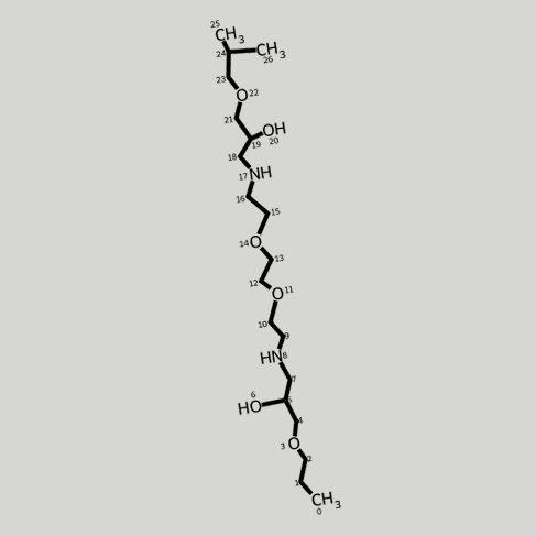 CCCOCC(O)CNCCOCCOCCNCC(O)COCC(C)C